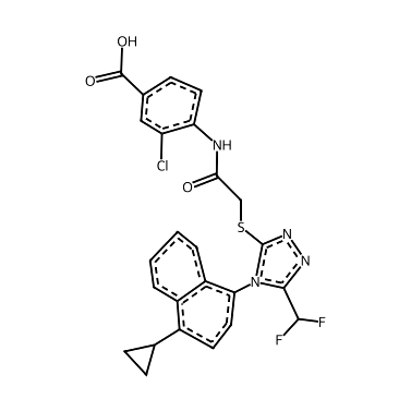 O=C(CSc1nnc(C(F)F)n1-c1ccc(C2CC2)c2ccccc12)Nc1ccc(C(=O)O)cc1Cl